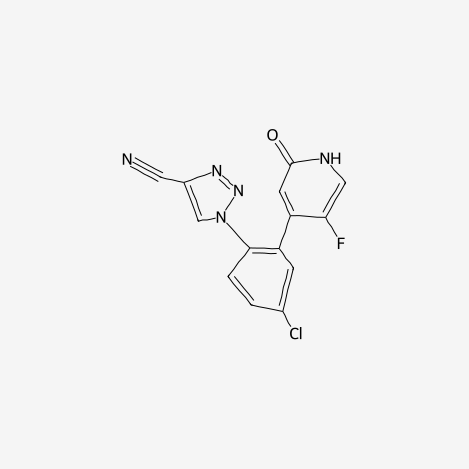 N#Cc1cn(-c2ccc(Cl)cc2-c2cc(=O)[nH]cc2F)nn1